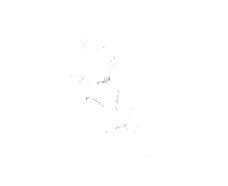 CCOC(=O)Cc1ccc([S+]([O-])C2CC2)c(Br)c1